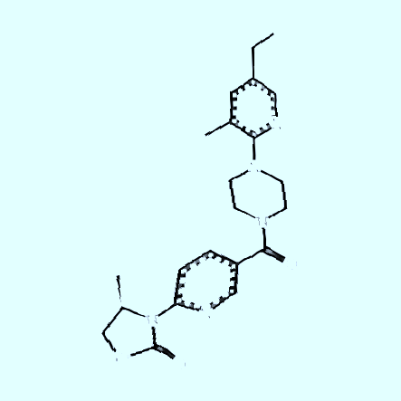 CCc1cnc(N2CCN(C(=O)c3ccc(N4C(=O)OC[C@H]4C)nc3)CC2)c(C)c1